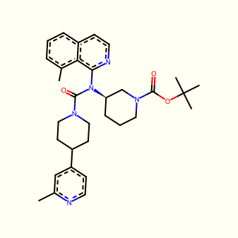 Cc1cc(C2CCN(C(=O)N(c3nccc4cccc(C)c34)[C@@H]3CCCN(C(=O)OC(C)(C)C)C3)CC2)ccn1